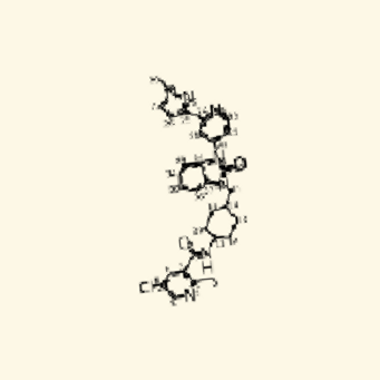 Cc1ncc(Cl)cc1C(=O)NC1CCC(Cn2c(=O)n(-c3ccnc(-c4ccn(C)n4)c3)c3ccccc32)CC1